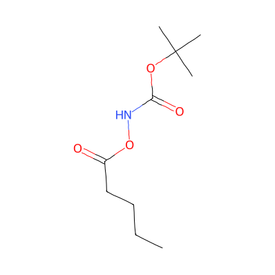 CCCCC(=O)ONC(=O)OC(C)(C)C